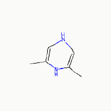 CC1=CNC=C(C)N1